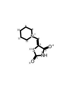 O=C1NC(=O)C(=CN2CCCCC2)S1